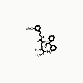 COc1cccc(CCNC(=O)C(CCC(N)/C(N)=N\[N+](=O)[O-])NC(=O)C(c2ccccc2)c2ccccc2)c1